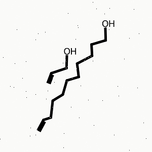 C=CCCCCCCCCCO.C=CCO